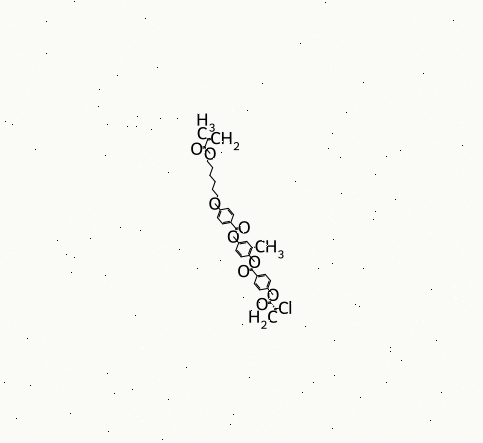 C=C(C)C(=O)OCCCCCCOc1ccc(C(=O)Oc2ccc(OC(=O)c3ccc(OC(=O)C(=C)Cl)cc3)c(C)c2)cc1